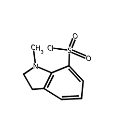 CN1CCc2cccc(S(=O)(=O)Cl)c21